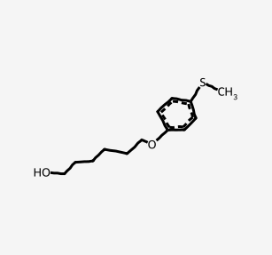 CSc1ccc(OCCCCCCO)cc1